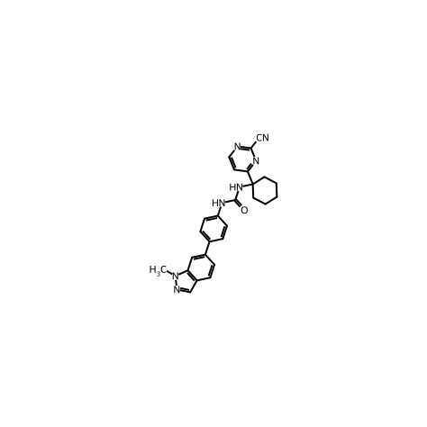 Cn1ncc2ccc(-c3ccc(NC(=O)NC4(c5ccnc(C#N)n5)CCCCC4)cc3)cc21